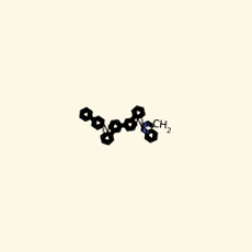 C=C/C=C(\C=C1\C=CC=CC1)n1c2ccccc2c2cc(-c3ccc4c(c3)c3ccccc3n4-c3ccc(-c4ccccc4)cc3)ccc21